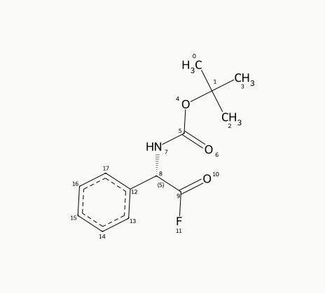 CC(C)(C)OC(=O)N[C@H](C(=O)F)c1ccccc1